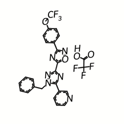 FC(F)(F)Oc1ccc(-c2noc(-c3nc(-c4cccnc4)n(Cc4ccccc4)n3)n2)cc1.O=C(O)C(F)(F)F